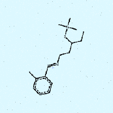 CCC(CC/N=C/c1ccccc1C)S[Si](C)(C)C